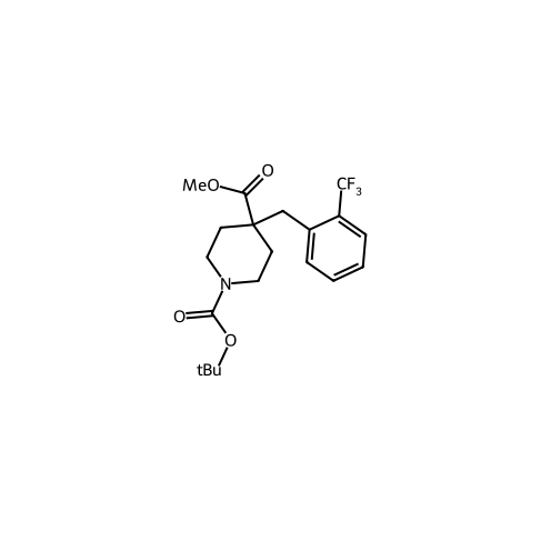 COC(=O)C1(Cc2ccccc2C(F)(F)F)CCN(C(=O)OC(C)(C)C)CC1